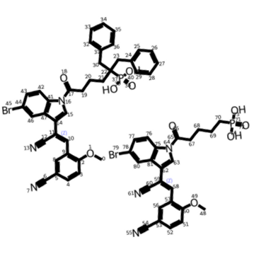 COc1ccc(C#N)cc1/C=C(\C#N)c1cn(C(=O)CCCC(Cc2ccccc2)(Cc2ccccc2)P(=O)(O)O)c2ccc(Br)cc12.COc1ccc(C#N)cc1/C=C(\C#N)c1cn(C(=O)CCCCP(=O)(O)O)c2ccc(Br)cc12